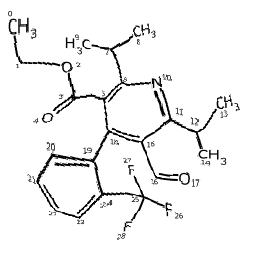 CCOC(=O)c1c(C(C)C)nc(C(C)C)c(C=O)c1-c1ccccc1C(F)(F)F